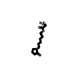 C=CC(=O)OCCCCCCN1CCCC1=O